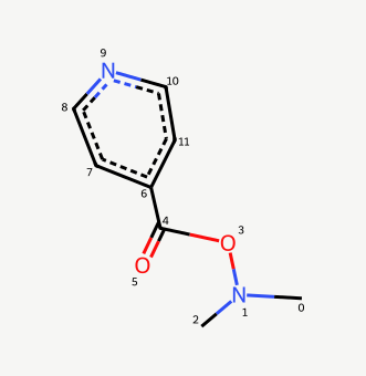 CN(C)OC(=O)c1ccncc1